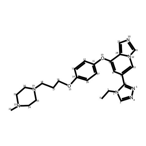 CCn1cnnc1-c1cc(Oc2ccc(OCCCN3CCN(C)CC3)cc2)c2cncn2c1